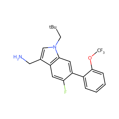 CC(C)(C)Cn1cc(CN)c2cc(F)c(-c3ccccc3OC(F)(F)F)cc21